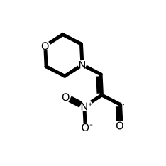 O=[C]C(=CN1CCOCC1)[N+](=O)[O-]